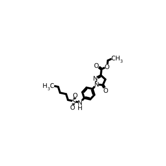 CCCCCS(=O)(=O)Nc1ccc(N2N=C(C(=O)OCC)CC2=O)cc1